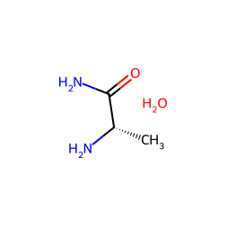 C[C@H](N)C(N)=O.O